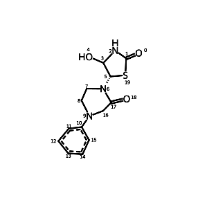 O=C1NC(O)[C@@H](N2CCN(c3ccccc3)CC2=O)S1